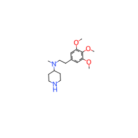 COc1cc(CCN(C)C2CCNCC2)cc(OC)c1OC